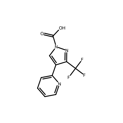 O=C(O)n1cc(-c2ccccn2)c(C(F)(F)F)n1